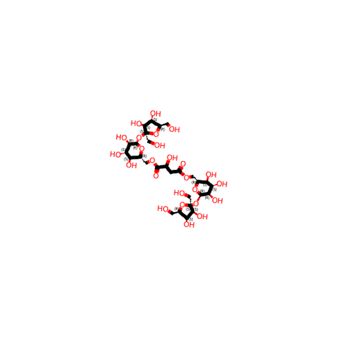 O=C(CC(O)C(=O)OC[C@H]1O[C@H](O[C@]2(CO)O[C@H](CO)[C@@H](O)[C@@H]2O)[C@H](O)[C@@H](O)[C@@H]1O)OC[C@H]1O[C@H](O[C@]2(CO)O[C@H](CO)[C@@H](O)[C@@H]2O)[C@H](O)[C@@H](O)[C@@H]1O